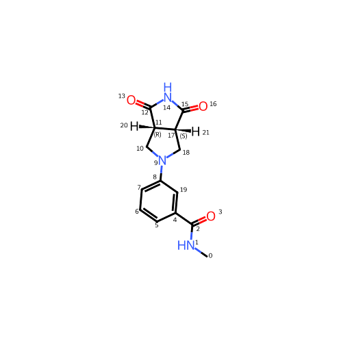 CNC(=O)c1cccc(N2C[C@@H]3C(=O)NC(=O)[C@@H]3C2)c1